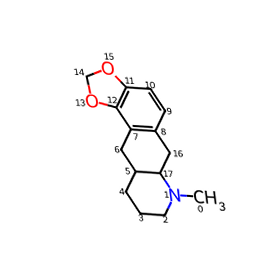 CN1CCCC2Cc3c(ccc4c3OCO4)CC21